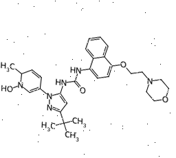 CC1C=CC(n2nc(C(C)(C)C)cc2NC(=O)Nc2ccc(OCCN3CCOCC3)c3ccccc23)=CN1O